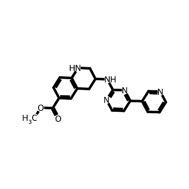 COC(=O)c1ccc2c(c1)CC(Nc1nccc(-c3cccnc3)n1)CN2